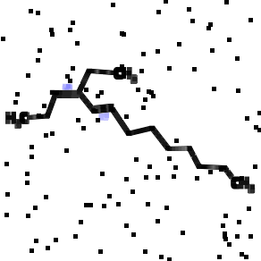 CC/[C]=C(\C=C\CCCCCCC)CC